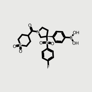 O=C(C1CCS(=O)(=O)CC1)N1CC[C@](c2ccc(B(O)O)cc2)(S(=O)(=O)c2ccc(F)cc2)C1